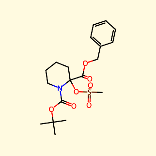 CC(C)(C)OC(=O)N1CCCCC1(OS(C)(=O)=O)C(=O)OCc1ccccc1